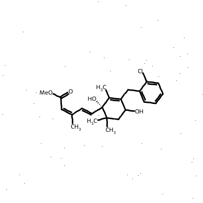 COC(=O)/C=C(C)\C=C\[C@@]1(O)C(C)=C(Cc2ccccc2Cl)C(O)CC1(C)C